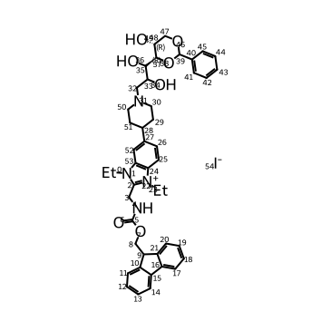 CCn1c(CNC(=O)OCC2c3ccccc3-c3ccccc32)[n+](CC)c2ccc(C3CCN(CC(O)C(O)[C@@H]4OC(c5ccccc5)OC[C@H]4O)CC3)cc21.[I-]